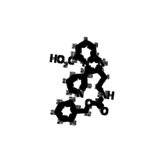 O=C(NCCc1nc2cccc(C(=O)O)n2c1-c1cccnc1)OCc1ccccc1